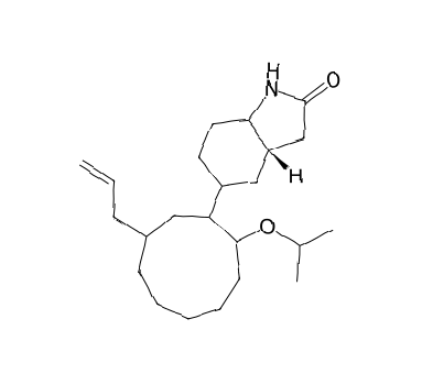 C=CCC1CCCCCC(OC(C)C)C(C2CCC3NC(=O)C[C@@H]3C2)C1